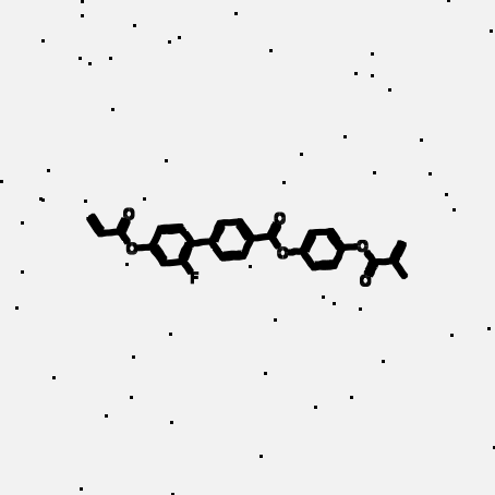 C=CC(=O)Oc1ccc(-c2ccc(C(=O)Oc3ccc(OC(=O)C(=C)C)cc3)cc2)c(F)c1